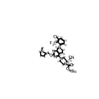 CN1CCC[C@H]1COc1nc2c(c(N3CCN(C(=O)OC(C)(C)C)[C@@H](CC#N)C3)n1)CCN(c1cccc(Cl)c1C(F)(F)F)C2